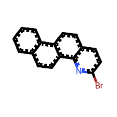 Brc1ccc2ccc3c4ccccc4ccc3c2n1